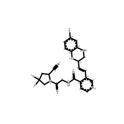 N#CC1CC(F)(F)CN1C(=O)CNC(=O)c1ccncc1/C=C/C1CNc2cc(F)ccc2O1